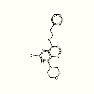 Clc1nc(N2CCOCC2)c2ncnc(SCCc3ccccc3)c2n1